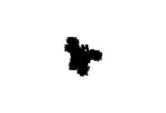 c1ccc2cc(C3=NC(c4ccc5ccccc5c4)NC(c4ccc(-c5cccc6c5sc5ccccc56)c5oc6cc7ccccc7cc6c45)=N3)ccc2c1